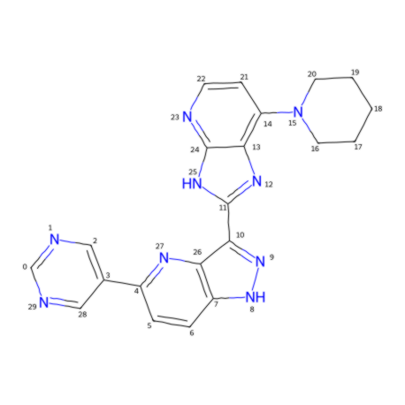 c1ncc(-c2ccc3[nH]nc(-c4nc5c(N6CCCCC6)ccnc5[nH]4)c3n2)cn1